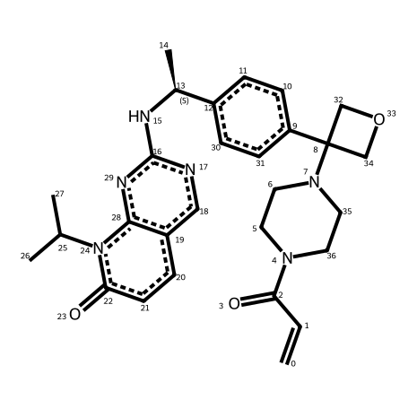 C=CC(=O)N1CCN(C2(c3ccc([C@H](C)Nc4ncc5ccc(=O)n(C(C)C)c5n4)cc3)COC2)CC1